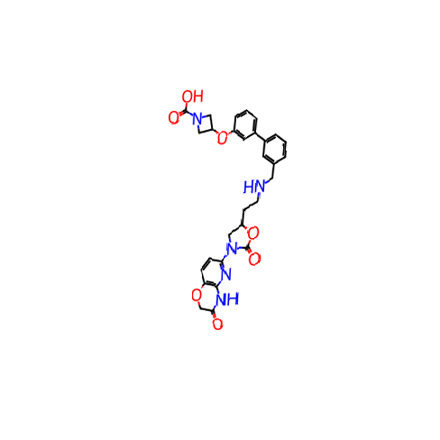 O=C1COc2ccc(N3CC(CCNCc4cccc(-c5cccc(OC6CN(C(=O)O)C6)c5)c4)OC3=O)nc2N1